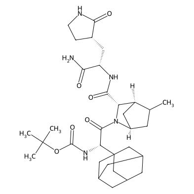 CC1C[C@@H]2C[C@H]1[C@@H](C(=O)N[C@@H](C[C@@H]1CCNC1=O)C(N)=O)N2C(=O)[C@@H](NC(=O)OC(C)(C)C)C12CC3CC(CC(C3)C1)C2